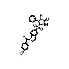 O=C1NC(c2ccccc2)C(S(=O)(=O)c2ccc3c(c2)CCN3C(=O)c2ccc(Cl)cc2)N1